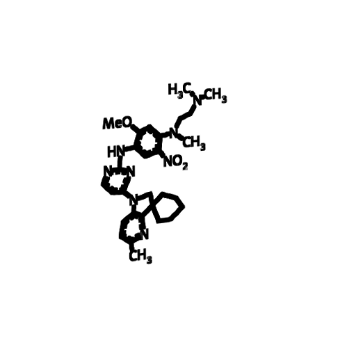 COc1cc(N(C)CCN(C)C)c([N+](=O)[O-])cc1Nc1nccc(N2CC3(CCCCC3)c3nc(C)ccc32)n1